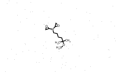 CC(C)(CCCCN(C1CO1)C1CO1)O[SiH3]